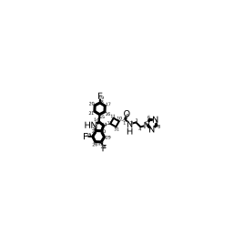 O=C(NCCn1cncn1)[C@H]1C[C@@H](c2c(-c3ccc(F)cc3)[nH]c3c(F)cc(F)cc32)C1